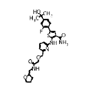 CC(C)(O)c1ccc(-c2cc(C(N)=O)c(Nc3cccc(COCC(=O)NCC4CCCO4)n3)s2)c(F)c1